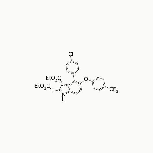 CCOC(=O)Cc1[nH]c2ccc(Oc3ccc(C(F)(F)F)cc3)c(-c3ccc(Cl)cc3)c2c1C(=O)OCC